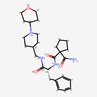 NC(=O)C1(C(=O)N[C@H](Cc2ccccc2)C(=O)NCC2CCN(C3CCOCC3)CC2)CCCC1